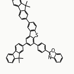 CC1(C)c2ccccc2-c2ccc(-c3ccc4sc5c(-c6ccc(-c7nc8ccccc8o7)cc6)cc(-c6ccc7c(c6)C(C)(C)c6ccccc6-7)cc5c4c3)cc21